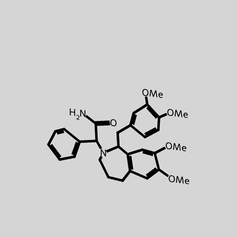 COc1ccc(CC2c3cc(OC)c(OC)cc3CCCN2C(C(N)=O)c2ccccc2)cc1OC